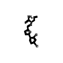 C=CCN(N=Cc1ccc(-c2ccc(Cl)cc2Cl)o1)C(N)=S